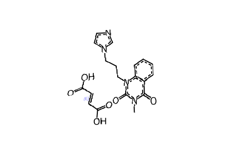 Cn1c(=O)c2ccccc2n(CCCn2ccnc2)c1=O.O=C(O)/C=C/C(=O)O